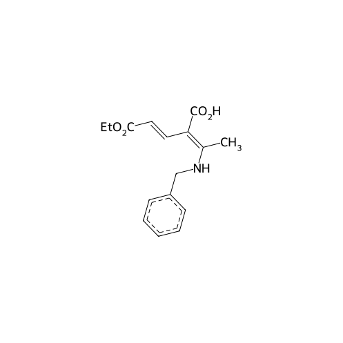 CCOC(=O)C=CC(C(=O)O)=C(C)NCc1ccccc1